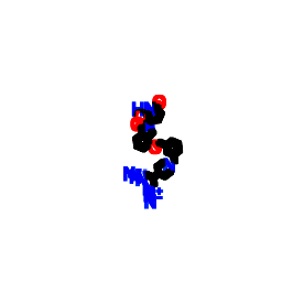 [N-]=[N+]=NCC(CN=[N+]=[N-])C1CCN(Cc2cccc(COc3cccc4c3CN(C3CCC(=O)NC3=O)C4=O)c2)CC1